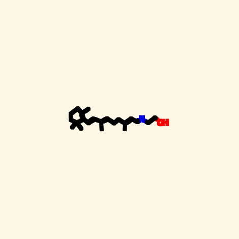 CC1=C(/C=C/C(C)=C/CC/C(C)=C/C=N/CCO)C(C)(C)CCC1